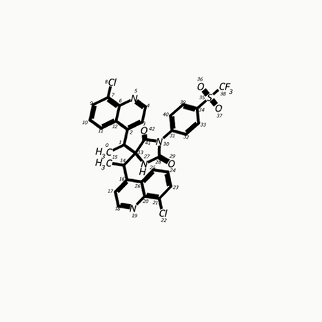 CC(c1ccnc2c(Cl)cccc12)C1(C(C)c2ccnc3c(Cl)cccc23)NC(=O)N(c2ccc(S(=O)(=O)C(F)(F)F)cc2)C1=O